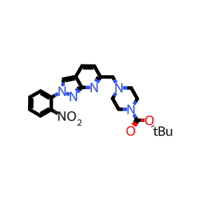 CC(C)(C)OC(=O)N1CCN(Cc2ccc3cn(-c4ccccc4[N+](=O)[O-])nc3n2)CC1